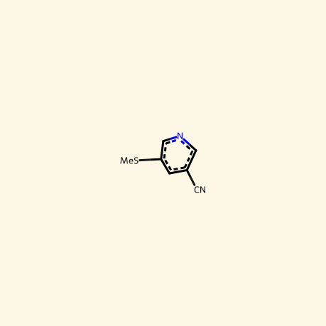 CSc1cncc(C#N)c1